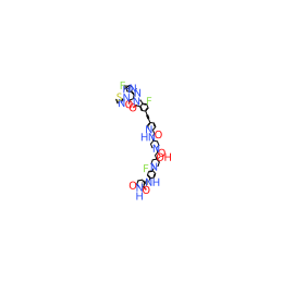 O=C1CC[C@@H](Nc2ccc(N3CCC(O)(CC(=O)N4CCC(NC(=O)c5ccc(C#Cc6cc(F)c7c(c6)C(=O)N(C(C(=O)Nc6nccs6)c6ncn8c6C[C@@H](F)C8)C7)cn5)CC4)CC3)c(F)c2)C(=O)N1